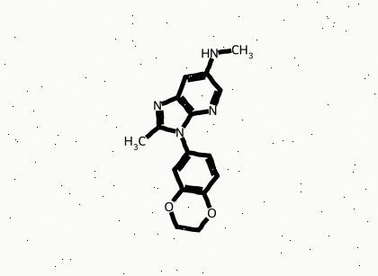 CNc1cnc2c(c1)nc(C)n2-c1ccc2c(c1)OCCO2